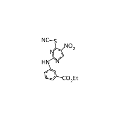 CCOC(=O)c1cccc(Nc2ncc([N+](=O)[O-])c(SC#N)n2)c1